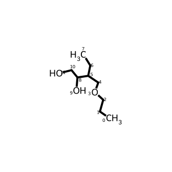 CCCOCC(CC)C(O)CO